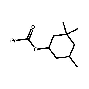 CC1CC(OC(=O)C(C)C)CC(C)(C)C1